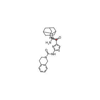 NC(=O)C12CC3CC(C1)C(NC(=O)c1csc(NC(=O)N4CCc5ccccc5C4)n1)C(C3)C2